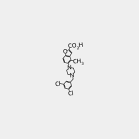 Cc1c(N2CCN(Cc3cc(Cl)cc(Cl)c3)CC2)ccc2oc(C(=O)O)cc12